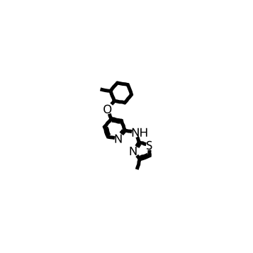 Cc1csc(Nc2cc(OC3CCCCC3C)ccn2)n1